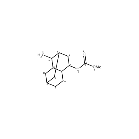 COC(=O)OC1CC2CC3CCC1C(C3)C2C